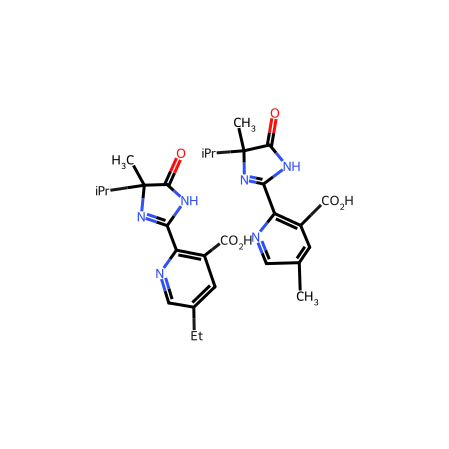 CCc1cnc(C2=NC(C)(C(C)C)C(=O)N2)c(C(=O)O)c1.Cc1cnc(C2=NC(C)(C(C)C)C(=O)N2)c(C(=O)O)c1